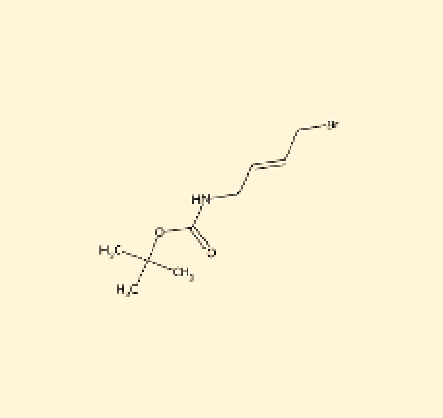 CC(C)(C)OC(=O)NCC=CCBr